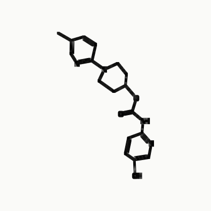 Cc1ccc(N2CCC(OC(=O)Nc3ccc(O)cn3)CC2)nc1